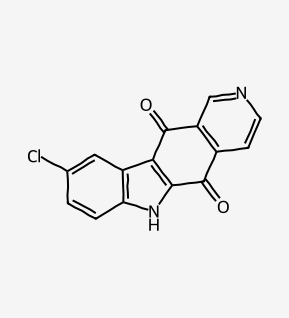 O=C1c2ccncc2C(=O)c2c1[nH]c1ccc(Cl)cc21